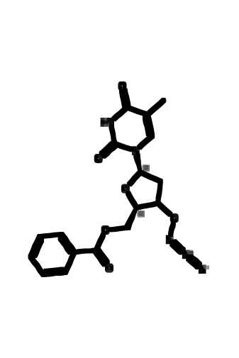 Cc1cn([C@H]2CC(ON=[N+]=[N-])[C@@H](COC(=O)c3ccccc3)O2)c(=O)[nH]c1=O